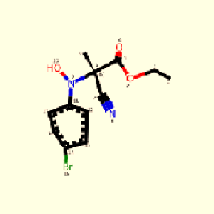 CCOC(=O)[C@](C)(C#N)N(O)c1ccc(Br)cc1